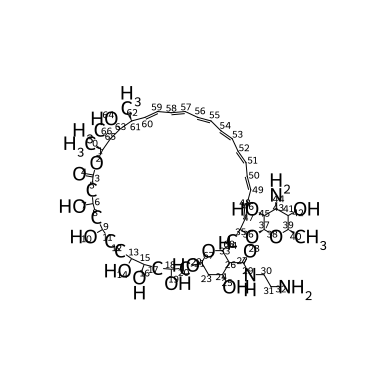 C[C@@H]1OC(=O)CC(O)CC(O)CCC(O)C(O)CC(O)CC2(O)C[C@H](O)C(C(=O)NCCN)[C@H](CC(O[C@@H]3O[C@H](C)C(O)[C@H](N)C3O)/C=C/C=C/C=C/C=C/C=C/C=C/C=C/[C@H](C)C(O)[C@H]1C)O2